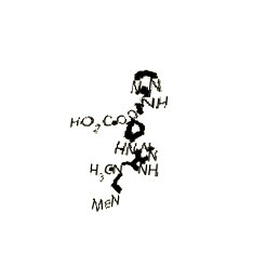 CNCCCN(C)Cc1c[nH]c2ncnc(Nc3ccc(OCCNc4ncccn4)c(OCC(=O)O)c3)c12